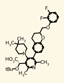 Cc1nc(C)c([C@H](OC(C)(C)C)C(=O)O)c(N2CCC(C)(C)CC2)c1-c1ccc2c(c1)CCC(COc1cccc(F)c1F)O2